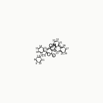 O=C1OC(CCc2ccccc2)(c2ccccc2)CC(O)=C1SCc1ccccc1-c1ccccc1